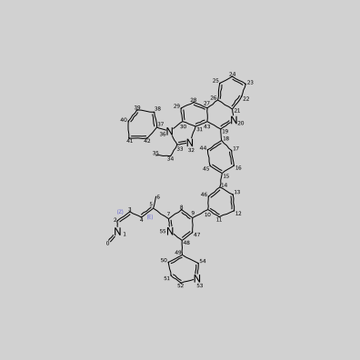 C=N/C=C\C=C(/C)c1cc(-c2cccc(-c3ccc(-c4nc5ccccc5c5ccc6c(nc(CC)n6-c6ccccc6)c45)cc3)c2)cc(-c2cccnc2)n1